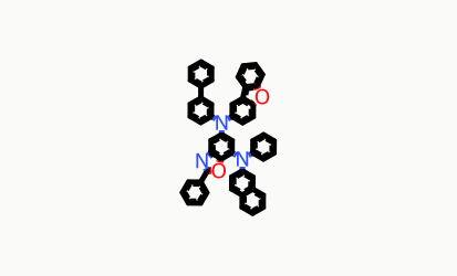 c1ccc(-c2cccc(N(c3cc(N(c4ccccc4)c4ccc5ccccc5c4)c4oc(-c5ccccc5)nc4c3)c3ccc4oc5ccccc5c4c3)c2)cc1